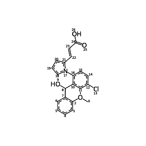 COc1ccccc1C(O)c1cc(Cl)ccc1-n1cccc1C=CC(=O)O